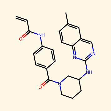 C=CC(=O)Nc1ccc(C(=O)N2CCCC(Nc3ncc4cc(C)ccc4n3)C2)cc1